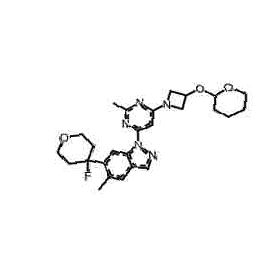 Cc1nc(N2CC(OC3CCCCO3)C2)cc(-n2ncc3cc(C)c(C4(F)CCOCC4)cc32)n1